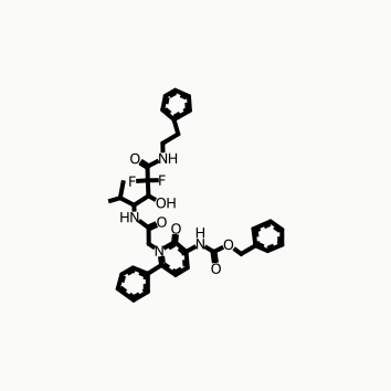 CC(C)C(NC(=O)Cn1c(-c2ccccc2)ccc(NC(=O)OCc2ccccc2)c1=O)C(O)C(F)(F)C(=O)NCCc1ccccc1